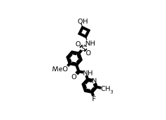 COc1ccc(S(=O)(=O)N[C@H]2C[C@@H](O)C2)cc1C(=O)Nc1ccc(F)c(C)n1